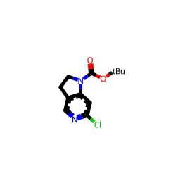 CC(C)(C)OC(=O)N1CCc2cnc(Cl)cc21